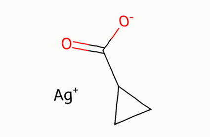 O=C([O-])C1CC1.[Ag+]